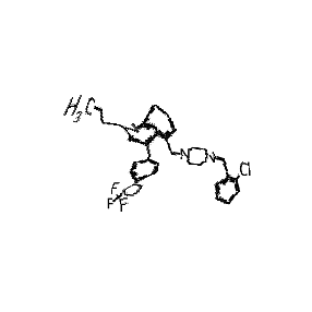 CCCCn1cc(-c2ccc(OC(F)(F)F)cc2)c2c(CN3CCN(Cc4ccccc4Cl)CC3)cccc21